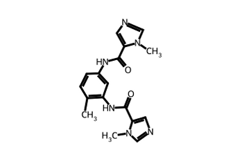 Cc1ccc(NC(=O)c2cncn2C)cc1NC(=O)c1cncn1C